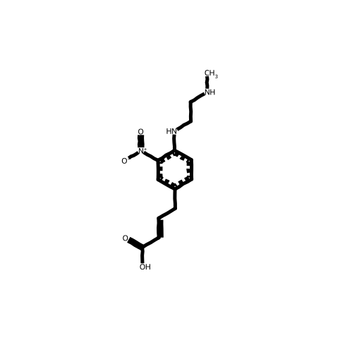 CNCCNc1ccc(CC=CC(=O)O)cc1[N+](=O)[O-]